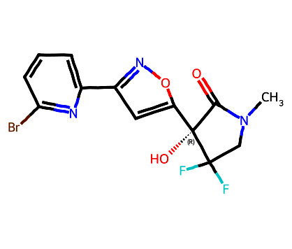 CN1CC(F)(F)[C@@](O)(c2cc(-c3cccc(Br)n3)no2)C1=O